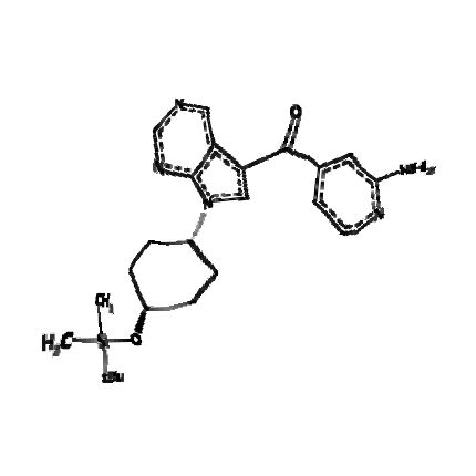 CC(C)(C)[Si](C)(C)O[C@H]1CC[C@H](n2cc(C(=O)c3ccnc(N)c3)c3cncnc32)CC1